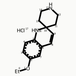 CCOc1ccc2c(c1)C=CC1(CCNCC1)N2.Cl